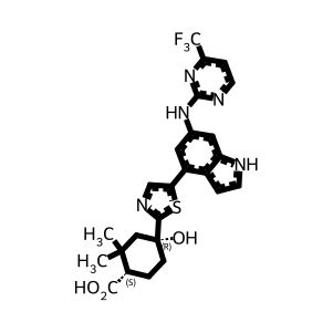 CC1(C)C[C@@](O)(c2ncc(-c3cc(Nc4nccc(C(F)(F)F)n4)cc4[nH]ccc34)s2)CC[C@@H]1C(=O)O